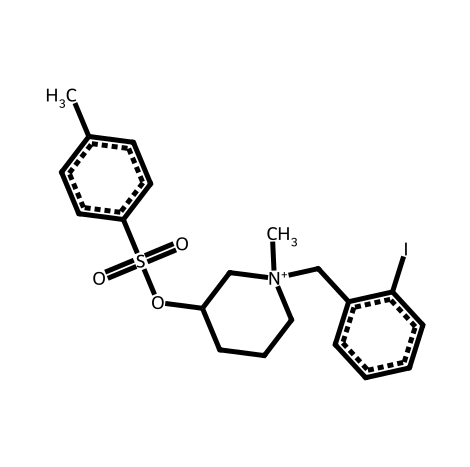 Cc1ccc(S(=O)(=O)OC2CCC[N+](C)(Cc3ccccc3I)C2)cc1